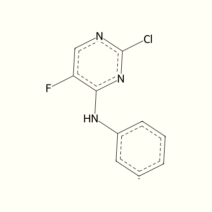 Fc1cnc(Cl)nc1Nc1c[c]ccc1